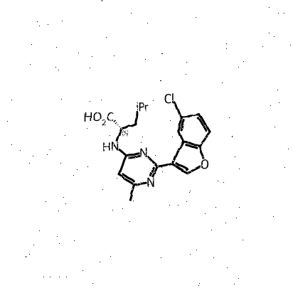 Cc1cc(N[C@@H](CC(C)C)C(=O)O)nc(-c2coc3ccc(Cl)cc23)n1